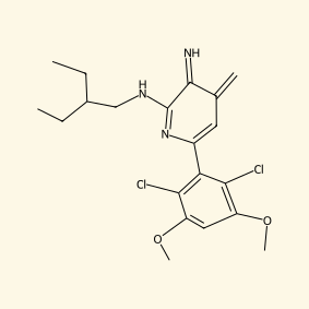 C=C1C=C(c2c(Cl)c(OC)cc(OC)c2Cl)N=C(NCC(CC)CC)C1=N